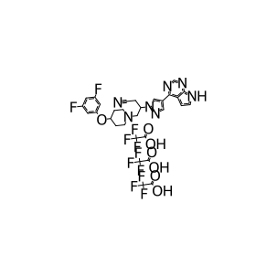 N#CCC(CN1CCC(Oc2cc(F)cc(F)c2)CC1)n1cc(-c2ncnc3[nH]ccc23)cn1.O=C(O)C(F)(F)F.O=C(O)C(F)(F)F.O=C(O)C(F)(F)F